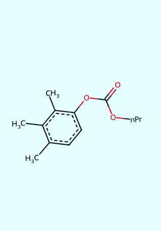 CCCOC(=O)Oc1ccc(C)c(C)c1C